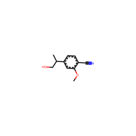 [CH2]C(CO)c1ccc(C#N)c(OC)c1